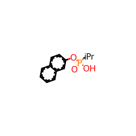 CC(C)P(=O)(O)Oc1ccc2ccccc2c1